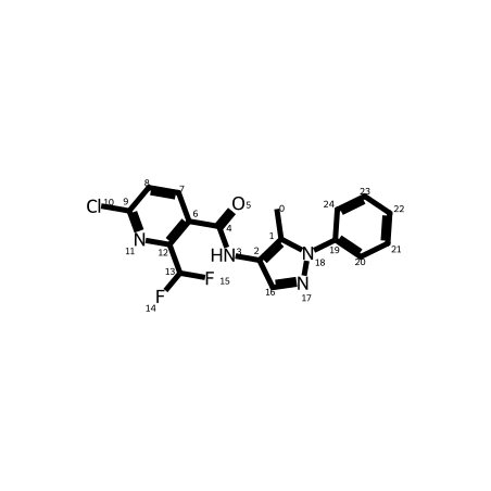 Cc1c(NC(=O)c2ccc(Cl)nc2C(F)F)cnn1-c1ccccc1